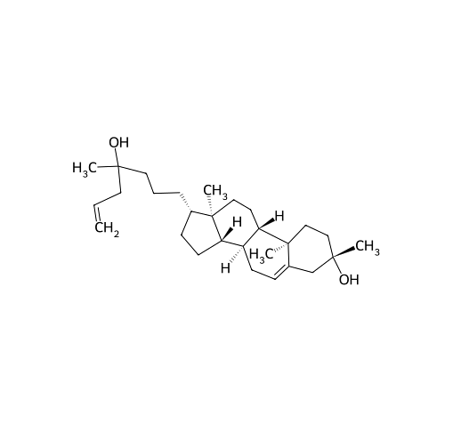 C=CCC(C)(O)CCC[C@H]1CC[C@H]2[C@@H]3CC=C4C[C@@](C)(O)CC[C@]4(C)[C@H]3CC[C@]12C